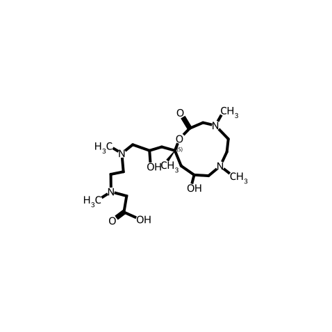 CN(CCN(C)CC(O)C[C@@]1(C)CC(O)CN(C)CCN(C)CC(=O)O1)CC(=O)O